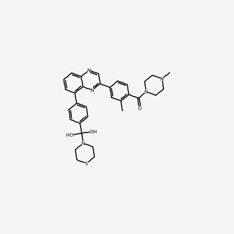 Cc1cc(-c2cnc3cccc(-c4ccc(C(O)(O)N5CCSCC5)cc4)c3n2)ccc1C(=O)N1CCN(C)CC1